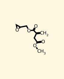 C=C(CC(=O)OC)C(=O)OCC1CO1